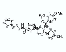 CSc1cc(C(F)(F)F)c(C(=O)Nc2cc(-n3cc(C(=O)NCCCN4CCOCC4)nn3)ccc2N2CCN(C)CC2)nn1